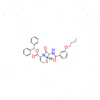 CCCCOc1cccc(C(=O)NC2C(=O)N3C(C(=O)OC(c4ccccc4)c4ccccc4)=CCS[C@H]23)c1